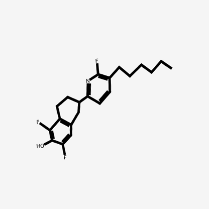 CCCCCCc1ccc(C2CCc3c(cc(F)c(O)c3F)C2)nc1F